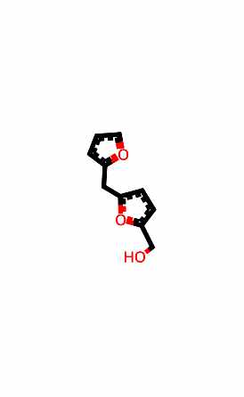 OCc1ccc(Cc2ccco2)o1